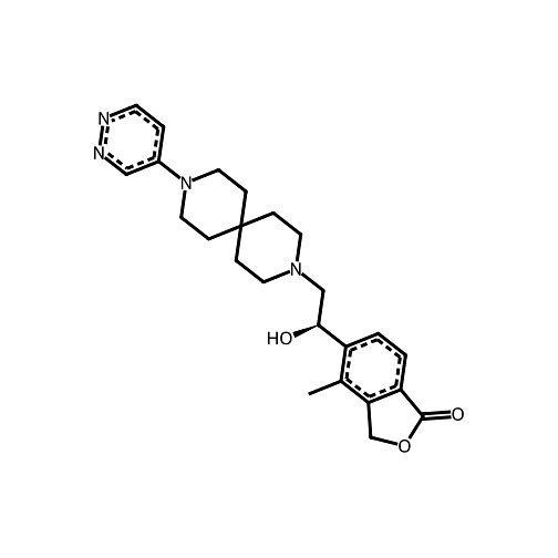 Cc1c([C@@H](O)CN2CCC3(CC2)CCN(c2ccnnc2)CC3)ccc2c1COC2=O